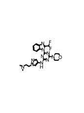 CN(C)CCn1cc(Nc2nc(N3CCOCC3)nc(-n3c(C(F)F)nc4ccccc43)n2)cn1